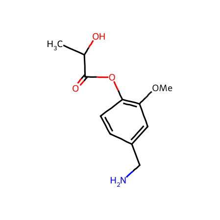 COc1cc(CN)ccc1OC(=O)C(C)O